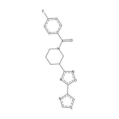 O=C(c1ccc(F)cc1)N1CCCC(c2noc(-c3cscn3)n2)C1